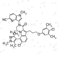 Cc1cc(OCCCc2c3n(c4c(-c5c(C)nn(C)c5C)c(Cl)ccc24)[C@H](C)CN(c2cn(C)c4ccc(C#N)nc24)C3=O)cc(C)c1Cl